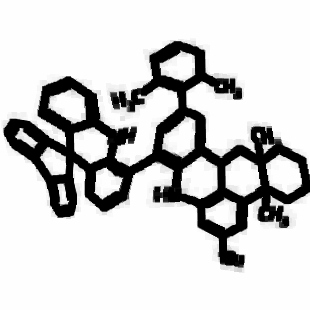 Cc1cccc(C)c1-c1cc(-c2cccc3c2Nc2ccccc2C32c3ccccc3-c3ccccc32)c2c(c1)C1CC3(C)CCCCC3(C)c3cc(C(C)(C)C)cc(c31)B2